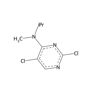 CC(C)N(C)c1nc(Cl)ncc1Cl